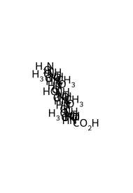 C[C@H](NC(=O)CN)C(=O)NCC(=O)N[C@@H](C)C(=O)NCC(=O)N[C@@H](CO)C(=O)NCC(=O)N[C@@H](C)C(=O)NCC(=O)N[C@@H](C)C(=O)NCC(=O)N[C@@H](CO)C(=O)O